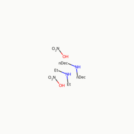 CCCCCCCCCCNCCCCCCCCCC.CCNCC.O=[N+]([O-])O.O=[N+]([O-])O